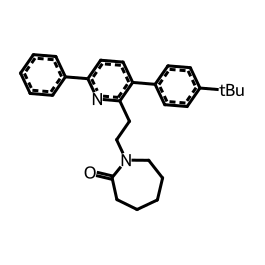 CC(C)(C)c1ccc(-c2ccc(-c3ccccc3)nc2CCN2CCCCCC2=O)cc1